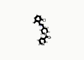 Cc1cccc(Cl)c1/C=C/C1CCN(C(=O)c2cccnc2)CC1